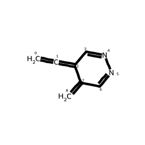 C=C=c1cnncc1=C